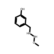 COBNCc1cccc(O)c1